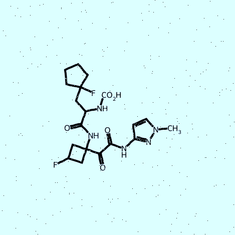 Cn1ccc(NC(=O)C(=O)C2(NC(=O)C(CC3(F)CCCC3)NC(=O)O)CC(F)C2)n1